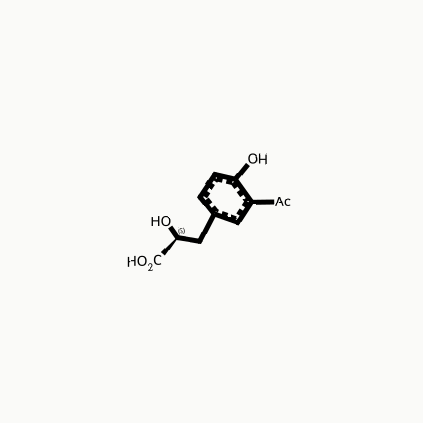 CC(=O)c1cc(C[C@H](O)C(=O)O)ccc1O